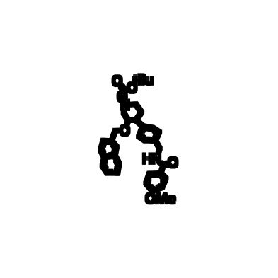 COc1ccc(C(=O)NCc2ccc(C3CCN(OC(=O)OC(C)(C)C)CC3OCc3ccc4ccccc4c3)cc2)cc1